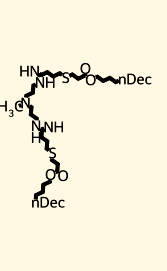 CCCCCCCCCCCCCCOC(=O)CCSCCCC(=N)NCCCN(C)CCCNC(=N)CCCSCCC(=O)OCCCCCCCCCCCCCC